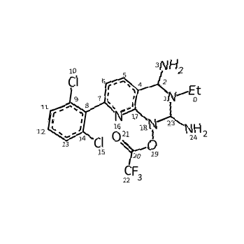 CCN1C(N)c2ccc(-c3c(Cl)cccc3Cl)nc2N(OC(=O)C(F)(F)F)C1N